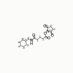 O=C(CCCC(=O)ON1C(=O)CCC1=O)NCC1CCCCC1